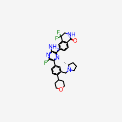 C[C@@H]1CCCN1Cc1cc(-c2nc(-c3ccc4c(c3)C(F)(F)CNC4=O)c(N)nc2F)ccc1C1CCOCC1